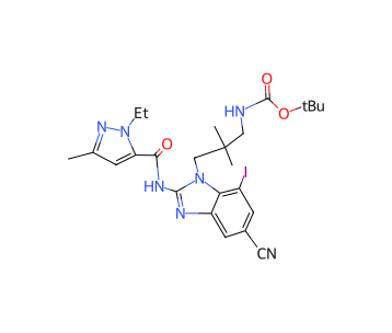 CCn1nc(C)cc1C(=O)Nc1nc2cc(C#N)cc(I)c2n1CC(C)(C)CNC(=O)OC(C)(C)C